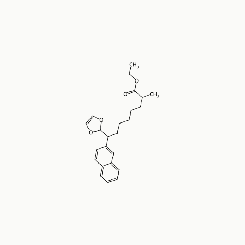 CCOC(=O)C(C)CCCCCC(c1ccc2ccccc2c1)C1OC=CO1